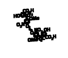 COc1cc(OCCCOc2cc(OC)c(C(=O)N3C[C@H](O)C[C@@]3(C)C(=O)O)cc2[N+](=O)[O-])c([N+](=O)[O-])cc1C(=O)N1C[C@H](O)C[C@@]1(C)C(=O)O